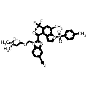 Cc1ccc(S(=O)(=O)n2ccc3c(C(=O)c4nc5cc(C#N)ccc5n4COCC[Si](C)(C)C)c(C(F)(F)F)cc(C)c32)cc1